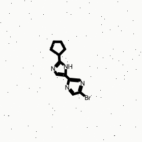 Brc1cnc(-c2cnc(C3CCCC3)[nH]2)cn1